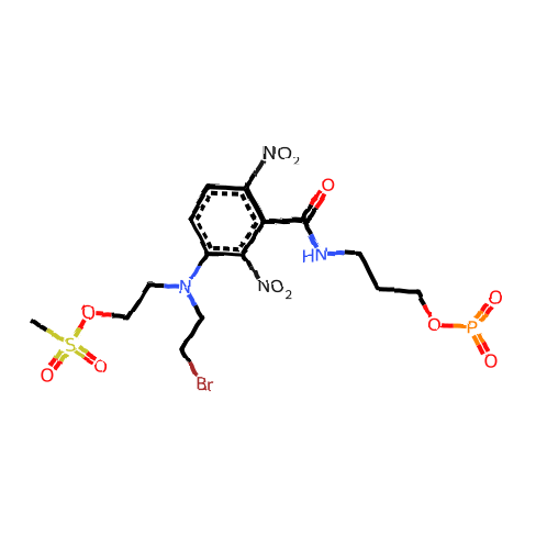 CS(=O)(=O)OCCN(CCBr)c1ccc([N+](=O)[O-])c(C(=O)NCCCOP(=O)=O)c1[N+](=O)[O-]